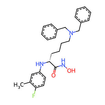 Cc1cc(N[C@H](CCCCN(Cc2ccccc2)Cc2ccccc2)C(=O)NO)ccc1F